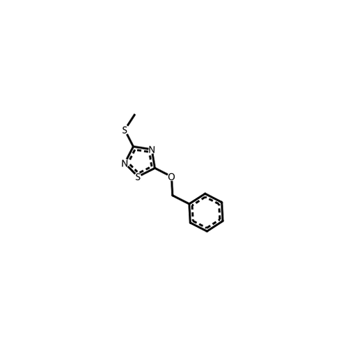 CSc1nsc(OCc2ccccc2)n1